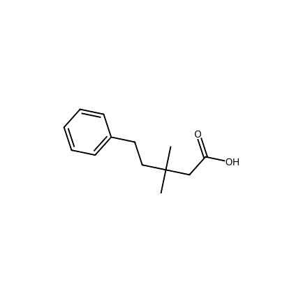 CC(C)(CCc1ccccc1)CC(=O)O